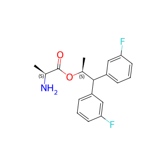 C[C@H](N)C(=O)O[C@@H](C)C(c1cccc(F)c1)c1cccc(F)c1